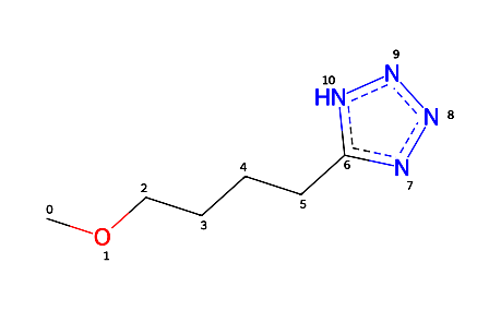 COCCCCc1nnn[nH]1